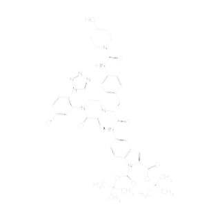 CC(C)(C)OC(=O)c1cc2cc(NC(=O)[C@H](Cc3ccc(NC(=O)N4CCC(O)CC4)cc3)N3CCN(c4cc(Cl)ccc4-n4cnnn4)C(=O)C3=O)ccc2n1C(=O)OC(C)(C)C